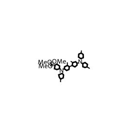 CO[Si](OC)(OC)c1ccc(N(c2ccc(C)cc2)c2ccc(-c3ccc(N(c4ccc(C)cc4)c4ccc(C)cc4)cc3C)c(C)c2)cc1